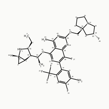 CC[C@@H]1N[C@H]2CC2[C@@H]1[C@H](C)Oc1nc(-c2cc(N)c(F)cc2C(F)(F)F)c(F)c2nc(OC[C@@]34CCCN3C[C@H](F)C4)nc(N)c12